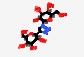 OC[C@H]1O[C@H](c2cn([C@H]3O[C@H](CO)[C@@H](O)[C@H](O)[C@@H]3O)nn2)[C@@H](O)[C@@H](O)[C@@H]1O